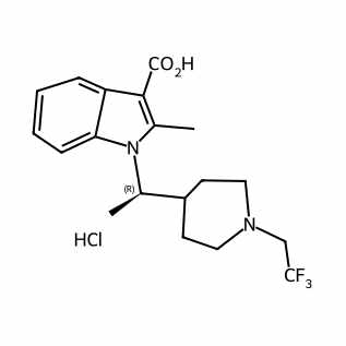 Cc1c(C(=O)O)c2ccccc2n1[C@H](C)C1CCN(CC(F)(F)F)CC1.Cl